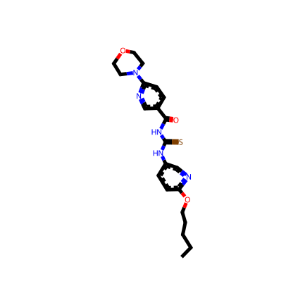 CCCCCOc1ccc(NC(=S)NC(=O)c2ccc(N3CCOCC3)nc2)cn1